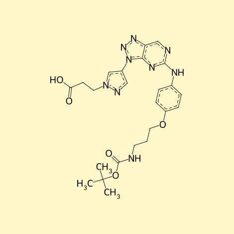 CC(C)(C)OC(=O)NCCCOc1ccc(Nc2ncc3nnn(-c4cnn(CCC(=O)O)c4)c3n2)cc1